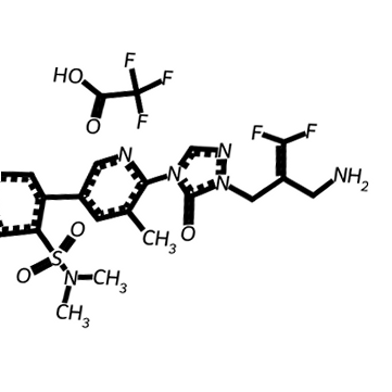 Cc1cc(-c2ccccc2S(=O)(=O)N(C)C)cnc1-n1cnn(CC(CN)=C(F)F)c1=O.O=C(O)C(F)(F)F